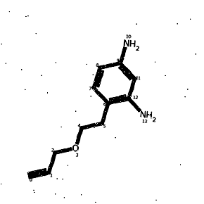 C=CCOCCc1ccc(N)cc1N